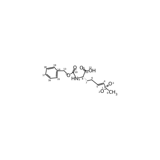 CS(=O)(=O)/C=C/CC[C@H](NC(=O)OCc1ccccc1)C(=O)O